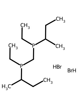 Br.Br.CCC(C)P(CC)CP(CC)C(C)CC